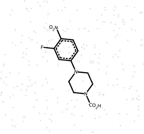 O=C(O)N1CCN(c2ccc([N+](=O)[O-])c(F)c2)CC1